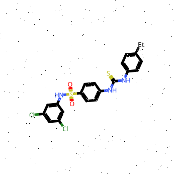 CCc1ccc(NC(=S)Nc2ccc(S(=O)(=O)Nc3cc(Cl)cc(Cl)c3)cc2)cc1